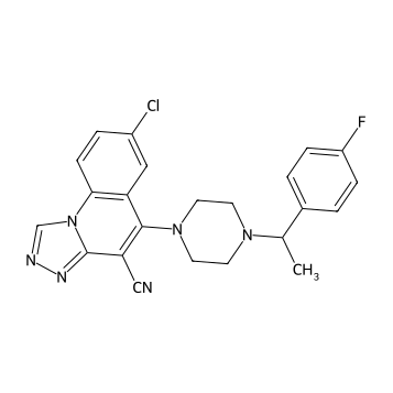 CC(c1ccc(F)cc1)N1CCN(c2c(C#N)c3nncn3c3ccc(Cl)cc23)CC1